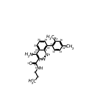 CCCNC(=O)c1nnc2c(-c3ccc(C)cc3C)cccc2c1N